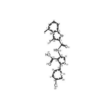 Cc1cccc2nc(C(=O)Nc3csc(-c4ccc(Cl)cc4)c3C(=O)O)c(F)n12